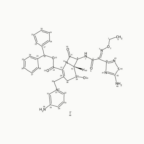 CCON=C(C(=O)NC1C(=O)N2C(C(=O)OC(c3ccccc3)c3ccccc3)=C(C[n+]3cccc(N)c3)C[S+]([O-])[C@@H]12)c1nsc(N)n1.[I-]